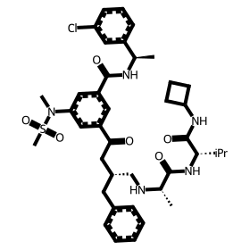 CC(C)[C@H](NC(=O)[C@H](C)NC[C@@H](CC(=O)c1cc(C(=O)N[C@H](C)c2cccc(Cl)c2)cc(N(C)S(C)(=O)=O)c1)Cc1ccccc1)C(=O)NC1CCC1